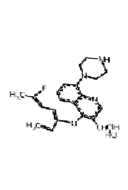 C=CC(=CC=C(C)F)Oc1c(C)cnc2c(N3CCNCC3)cccc12.Cl.Cl